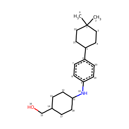 CC1(C)CCC(c2ccc(NC3CCC(CO)CC3)cc2)CC1